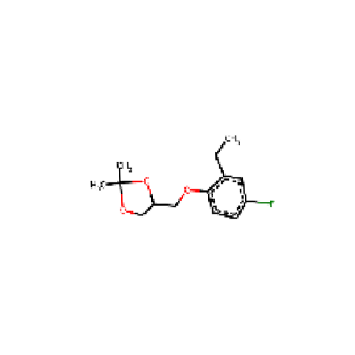 CCc1cc(F)ccc1OCC1COC(C)(C)O1